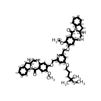 COc1cc2c(cc1OCc1cc(OCCCC(C)(C)SC)cc(COc3cc4c(cc3OC)C(=O)N3c5ccccc5C[C@H]3CN4)n1)N=C[C@@H]1Cc3ccccc3N1C2=O